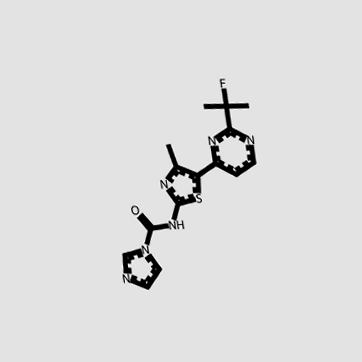 Cc1nc(NC(=O)n2ccnc2)sc1-c1ccnc(C(C)(C)F)n1